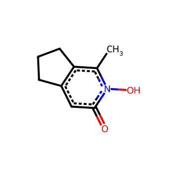 Cc1c2c(cc(=O)n1O)CCC2